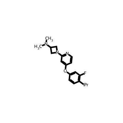 CC(C)c1ccc(Oc2ccnc(N3CC(N(C)C)C3)c2)cc1F